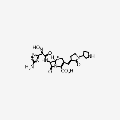 Nc1nc(/C(=N\O)C(=O)NC2C(=O)N3C(C(=O)O)=C(/C=C4\CCN(C5CCNC5)C4=O)CS[C@H]23)ns1